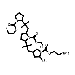 CNCCOC(=O)N1CC(CC(C)(C)C2CCC(CC(C)(C)C3CCCN3C(=O)OCCF)N2C(=O)OCC(F)(F)F)CC1C(C)(C)C